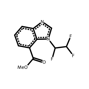 COC(=O)c1cccc2ncn(C(F)C(F)F)c12